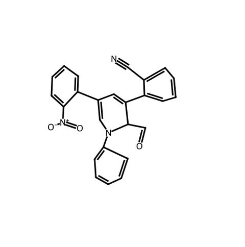 N#Cc1ccccc1C1=CC(c2ccccc2[N+](=O)[O-])=CN(c2ccccc2)C1C=O